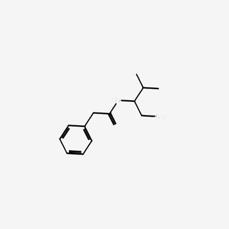 CC(C)C(CN)NC(=O)Cc1ccccc1